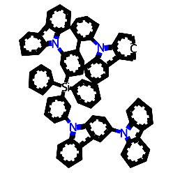 c1ccc([Si](c2ccccc2)(c2cccc(-n3c4ccccc4c4cc(-n5c6ccccc6c6ccccc65)ccc43)c2)c2ccc(-c3ccccc3-n3c4ccccc4c4ccccc43)c(-n3c4ccccc4c4ccccc43)c2)cc1